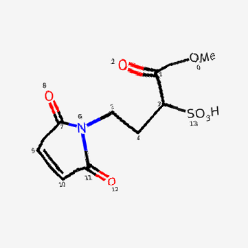 COC(=O)C(CCN1C(=O)C=CC1=O)S(=O)(=O)O